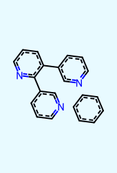 c1ccccc1.c1cncc(-c2cccnc2-c2cccnc2)c1